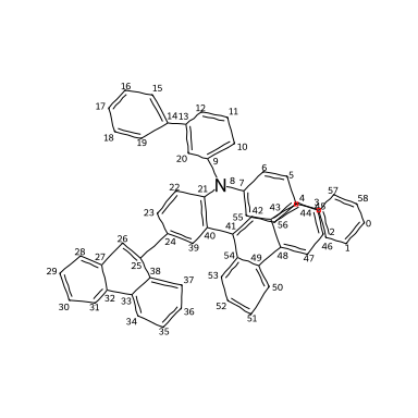 c1ccc(-c2ccc(N(c3cccc(-c4ccccc4)c3)c3ccc(-c4cc5ccccc5c5ccccc45)cc3-c3cc4ccccc4c4ccccc34)cc2)cc1